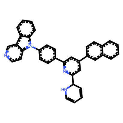 C1=CNC(c2cc(-c3ccc4ccccc4c3)cc(-c3ccc(-n4c5ccccc5c5cnccc54)cc3)n2)C=C1